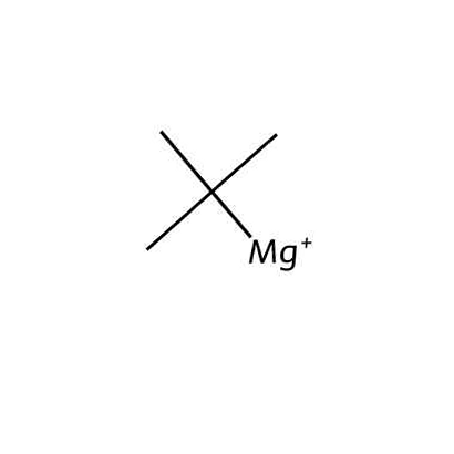 C[C](C)(C)[Mg+]